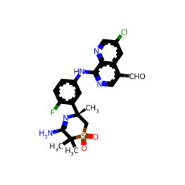 CC1(C)C(N)=N[C@](C)(c2cc(Nc3ncc(C=O)c4cc(Cl)cnc34)ccc2F)CS1(=O)=O